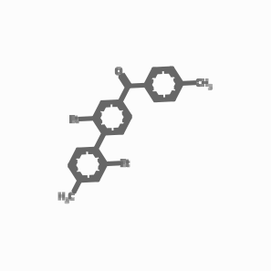 CCc1cc(C)ccc1-c1ccc(C(=O)c2ccc(C)cc2)cc1CC